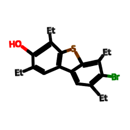 CCc1cc2c(sc3c(CC)c(Br)c(CC)cc32)c(CC)c1O